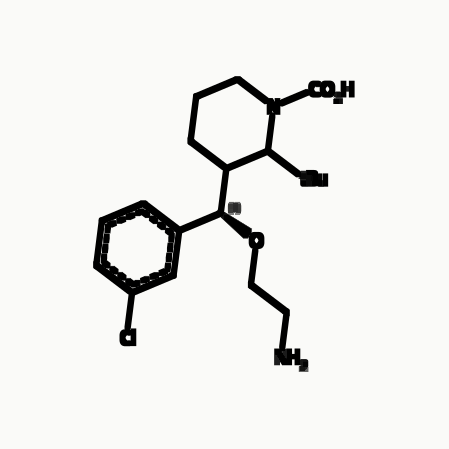 CC(C)(C)C1C([C@@H](OCCN)c2cccc(Cl)c2)CCCN1C(=O)O